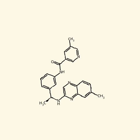 Cc1cncc(C(=O)Nc2cccc([C@H](C)Nc3cnc4ccc(C)cc4n3)c2)c1